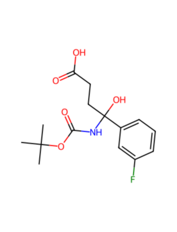 CC(C)(C)OC(=O)NC(O)(CCC(=O)O)c1cccc(F)c1